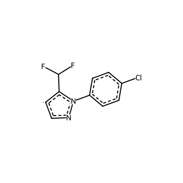 FC(F)c1[c]cnn1-c1ccc(Cl)cc1